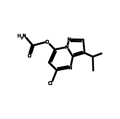 CC(C)c1cnn2c(OC(N)=O)cc(Cl)nc12